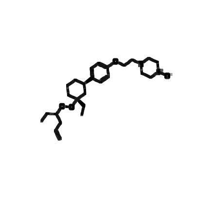 C=CCC(CC)OO[C@]1(CC)CCC[C@@H](c2ccc(OCCN3CC[S+]([O-])CC3)cc2)C1